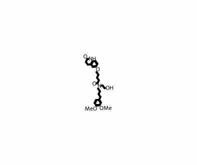 COc1ccc(CCCCN(CCO)C(=O)CCCCOc2ccc3c(c2)CCC(=O)N3)cc1OC